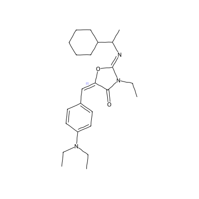 CCN1C(=O)/C(=C\c2ccc(N(CC)CC)cc2)OC1=NC(C)C1CCCCC1